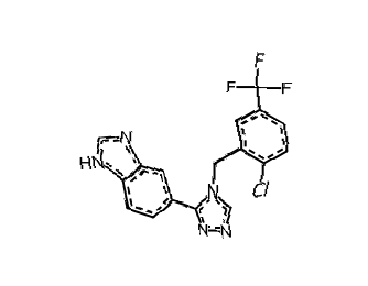 FC(F)(F)c1ccc(Cl)c(Cn2cnnc2-c2ccc3[nH]cnc3c2)c1